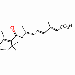 CC1=C(C(=O)C/C(C)=C/C=C/C(C)=C/C(=O)O)C(C)(C)CCC1